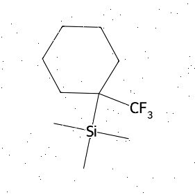 C[Si](C)(C)C1(C(F)(F)F)CCCCC1